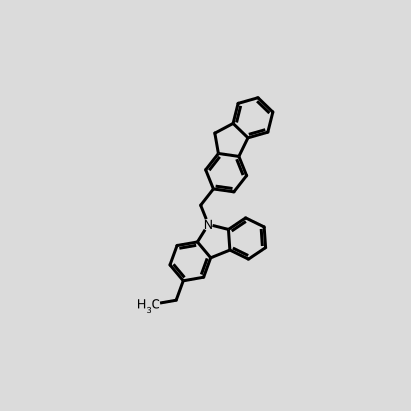 CCc1ccc2c(c1)c1ccccc1n2Cc1ccc2c(c1)Cc1ccccc1-2